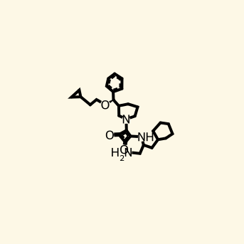 NCC(CC1CCCCC1)Nc1c(N2CCCC([C@@H](OCCC3CC3)c3ccccc3)C2)c(=O)c1=O